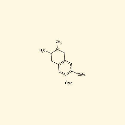 COc1cc2c(cc1OC)CN(C)C(C)C2